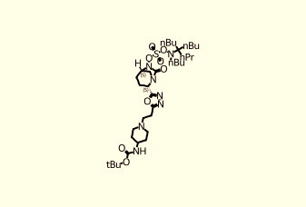 CCCCN(OS(=O)(=O)ON1C(=O)N2C[C@@H]1CC[C@H]2c1nnc(CCN2CCC(NC(=O)OC(C)(C)C)CC2)o1)C(CCC)(CCCC)CCCC